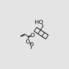 C=CC(=O)OOC.OCC12C3C4C5C3C1C5C42